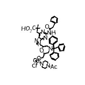 CC(=O)N1CCN(P(=O)(Cl)OCC2CN(C(c3ccccc3)(c3ccccc3)c3ccccc3)CC(n3cnc4c(CC(C)(C)C(=O)O)nc(NC(=O)Cc5ccccc5)nc43)O2)CC1